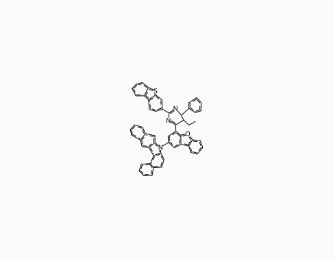 CCC1C(c2cc(-n3c4cc5ccccc5cc4c4c5ccccc5ccc43)cc3c2oc2ccccc23)=NC(c2ccc3c(c2)sc2ccccc23)=NC1c1ccccc1